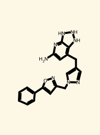 Nc1cc(Cc2cnn(Cc3cc(-c4ccccc4)on3)c2)c2c(n1)NNN2